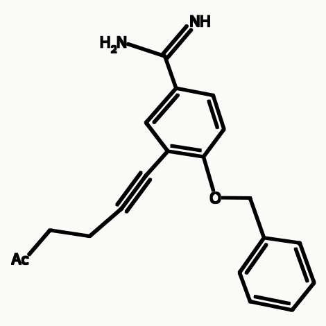 CC(=O)CCC#Cc1cc(C(=N)N)ccc1OCc1ccccc1